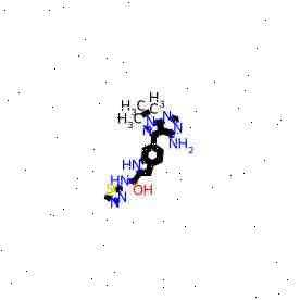 CC(C)(C)n1nc(-c2ccc3cc(C(O)Nc4nncs4)[nH]c3c2)c2c(N)ncnc21